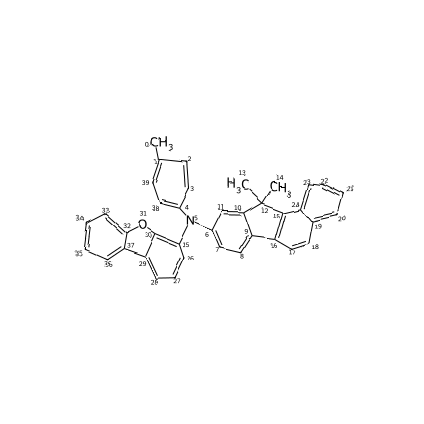 Cc1ccc(N(c2ccc3c(c2)C(C)(C)c2c-3ccc3ccccc23)c2cccc3c2oc2ccccc23)cc1